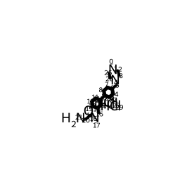 CN1CCN(Cc2ccc(-c3cccc(CN(C)C(=O)CN)c3)cc2)CC1.Cl.Cl.Cl